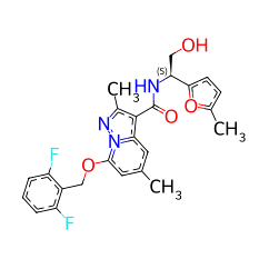 Cc1cc(OCc2c(F)cccc2F)n2nc(C)c(C(=O)N[C@@H](CO)c3ccc(C)o3)c2c1